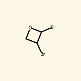 BrC1COC1Br